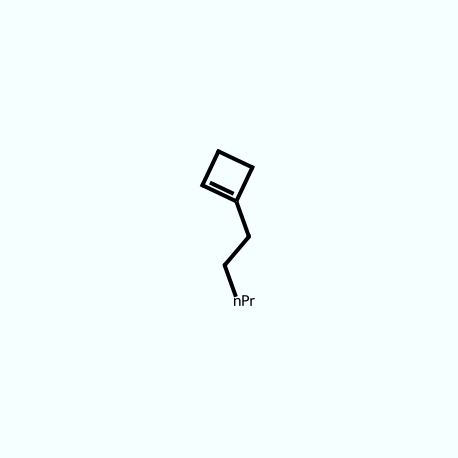 CCCCCC1=CCC1